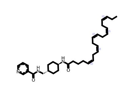 CC/C=C\C/C=C\C/C=C\C/C=C\C/C=C\CCCC(=O)N[C@H]1CC[C@H](CNC(=O)c2cccnc2)CC1